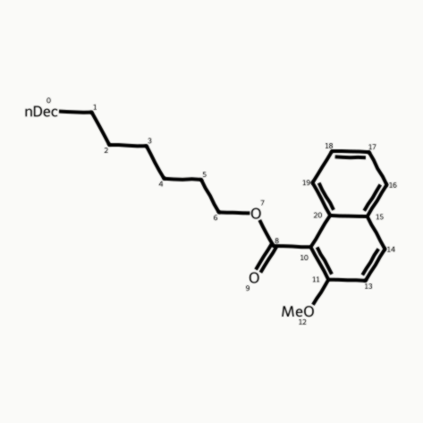 CCCCCCCCCCCCCCCCOC(=O)c1c(OC)ccc2ccccc12